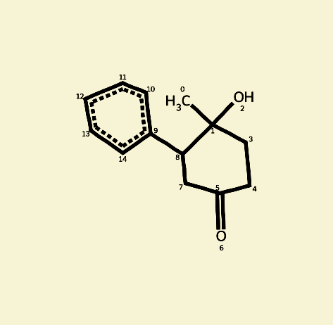 CC1(O)CCC(=O)CC1c1ccccc1